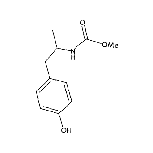 COC(=O)NC(C)Cc1ccc(O)cc1